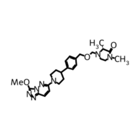 COc1nnc2ccc(N3CCC(c4ccc(COCN5CCN(C)C(=O)[C@H]5C)cc4)CC3)nn12